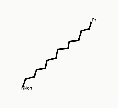 [CH2]CCCCCCCCCCCCCCCCCCCCC([CH2])C